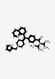 CC(C)N(C(=O)c1ccc(C(=C2CCN(Cc3cccs3)CC2)c2cccc3cccnc23)cc1)C(C)C